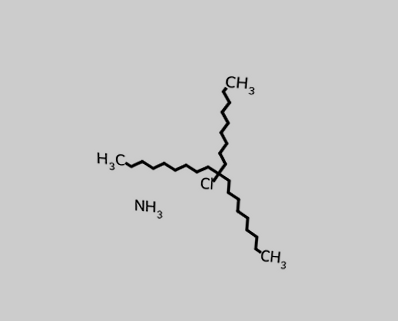 CCCCCCCCCC(Cl)(CCCCCCCCC)CCCCCCCCC.N